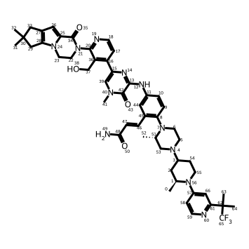 C[C@H]1CC(N2CCN(c3ccc(Nc4nc(-c5ccnc(N6CCn7c(cc8c7CC(C)(C)C8)C6=O)c5CO)cn(C)c4=O)cc3C=CC(N)=O)[C@@H](C)C2)CCN1c1ccnc(C(C)(C)C(F)(F)F)c1